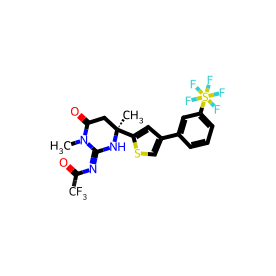 CN1C(=O)C[C@@](C)(c2cc(-c3cccc(S(F)(F)(F)(F)F)c3)cs2)N/C1=N/C(=O)C(F)(F)F